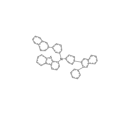 c1ccc(-c2cc3ccccc3cc2-c2ccc(N(c3cccc(-c4ccc5ccccc5c4)c3)c3cccc4c3sc3ccccc34)cc2)cc1